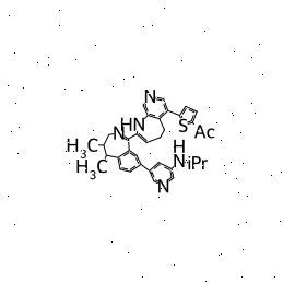 CC(=O)c1ccc(-c2cncc3c2CCC=C(C2=NCC(C)C(C)c4ccc(-c5cncc(NC(C)C)c5)cc42)N3)s1